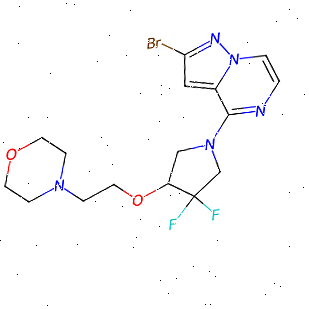 FC1(F)CN(c2nccn3nc(Br)cc23)CC1OCCN1CCOCC1